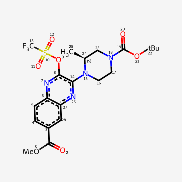 COC(=O)c1ccc2nc(OS(=O)(=O)C(F)(F)F)c(N3CCN(C(=O)OC(C)(C)C)C[C@@H]3C)nc2c1